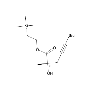 CC(C)(C)C#CC[C@](C)(O)C(=O)OCC[Si](C)(C)C